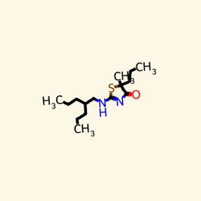 CCCC(CCC)CNC1=NC(=O)C(C)(CCC)S1